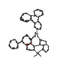 CC1(C)c2ccccc2-c2c(N(c3ccc(-c4ccccc4)cc3)c3ccc4c5ccccc5c5ccccc5c4c3)ccc3cccc1c23